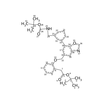 CC(C)(C)OC(=O)Cc1ccccc1OCc1cc(-c2cccc(CNC(=O)OC(C)(C)C)c2)c2ocnc2c1